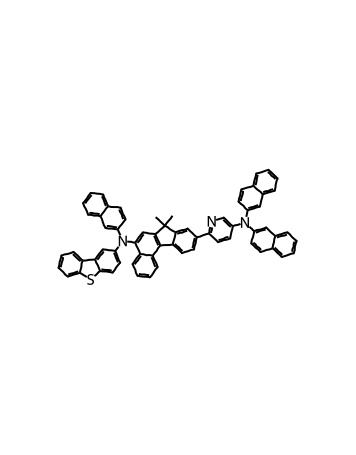 CC1(C)c2cc(-c3ccc(N(c4ccc5ccccc5c4)c4ccc5ccccc5c4)cn3)ccc2-c2c1cc(N(c1ccc3ccccc3c1)c1ccc3sc4ccccc4c3c1)c1ccccc21